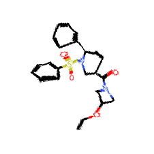 CCOC1CN(C(=O)[C@@H]2CC[C@H](c3ccccc3)N(S(=O)(=O)c3ccccc3)C2)C1